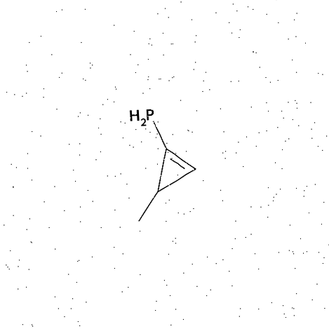 CC1C=C1P